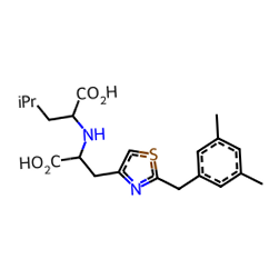 Cc1cc(C)cc(Cc2nc(CC(NC(CC(C)C)C(=O)O)C(=O)O)cs2)c1